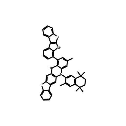 Cc1cc(-c2cccc3c2[nH]c2oc4ccccc4c23)c2c(c1)N(c1cc3c(cc1C)C(C)(C)CCC3(C)C)c1cc3c(cc1B2)sc1ccccc13